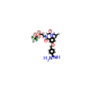 CC(C)CN1C(=O)CN(CCC(=O)OC(=O)C(F)(F)F)C(=O)c2cc(OCc3ccc(C(=N)N)cc3)ccc21